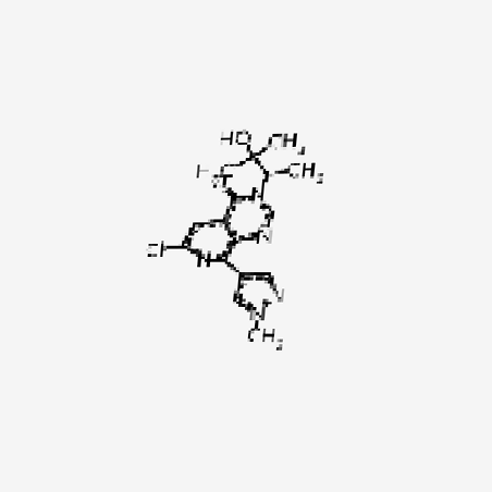 C[C@@H](n1cnc2c(-c3cnn(C)c3)nc(Cl)cc2c1=O)C(C)(C)O